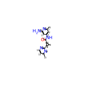 Cc1cc(NC(=O)[C@H]2C[C@@H]2c2nccc(C)n2)cc(N)n1